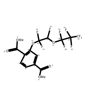 COC(=O)c1ccc(C(=O)OC)c(OC(F)(F)C(F)OC(F)(F)C(F)(F)C(F)(F)F)c1